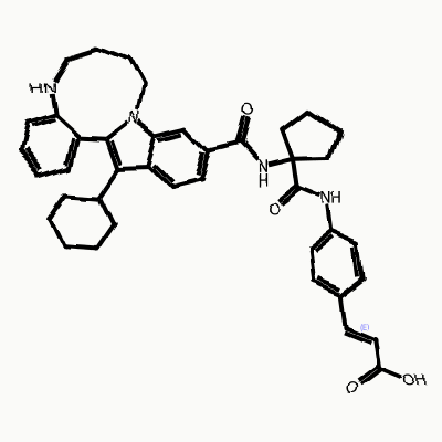 O=C(O)/C=C/c1ccc(NC(=O)C2(NC(=O)c3ccc4c(C5CCCCC5)c5n(c4c3)CCCCNc3ccccc3-5)CCCC2)cc1